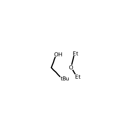 CC(C)(C)CO.CCOCC